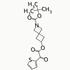 CC(C)(C)OC(=O)N1CC2(CC(OC(=O)C(=O)c3cccs3)C2)C1